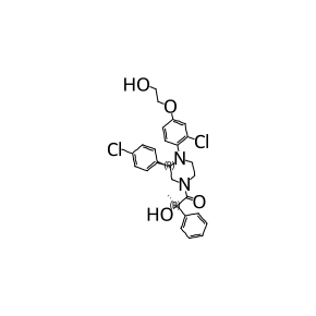 C[C@](O)(C(=O)N1CCN(c2ccc(OCCO)cc2Cl)[C@H](c2ccc(Cl)cc2)C1)c1ccccc1